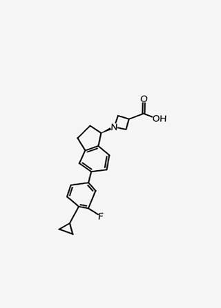 O=C(O)C1CN([C@@H]2CCc3cc(-c4ccc(C5CC5)c(F)c4)ccc32)C1